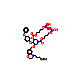 COCCCN1CCOc2ccc(COC3CN(C(=O)OCCCCON(O)O)CC(OC(=O)OCCCCON(O)O)C3OC3CCC(Oc4ccccc4)CC3)cc21